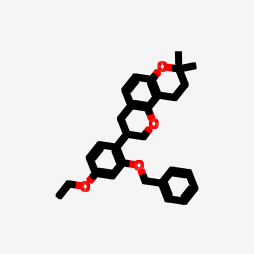 CCOc1ccc(C2COc3c(ccc4c3CCC(C)(C)O4)C2)c(OCc2ccccc2)c1